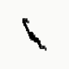 CCCCCCCCCCC1CCc2nc(-c3ccc(OCCCC)cc3)ncc2C1